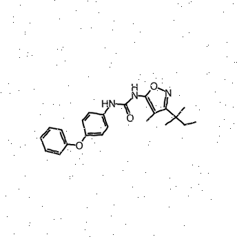 CCC(C)(C)c1noc(NC(=O)Nc2ccc(Oc3ccccc3)cc2)c1C